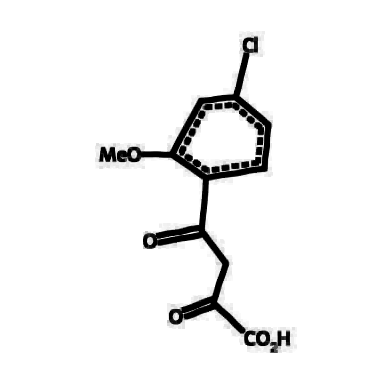 COc1cc(Cl)ccc1C(=O)CC(=O)C(=O)O